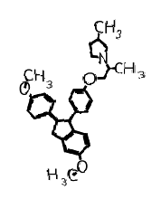 COc1ccc(C2Cc3cc(OC)ccc3C2c2ccc(OC[C@H](C)N3CC[C@@H](C)C3)cc2)cc1